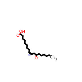 CCCCCCC(=O)C/C=C\CCCCCCCC(=O)O